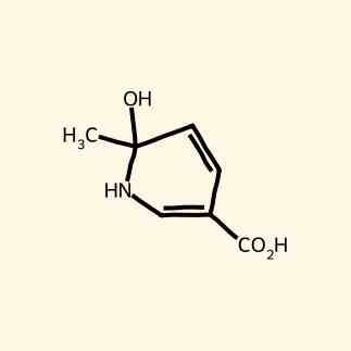 CC1(O)C=CC(C(=O)O)=CN1